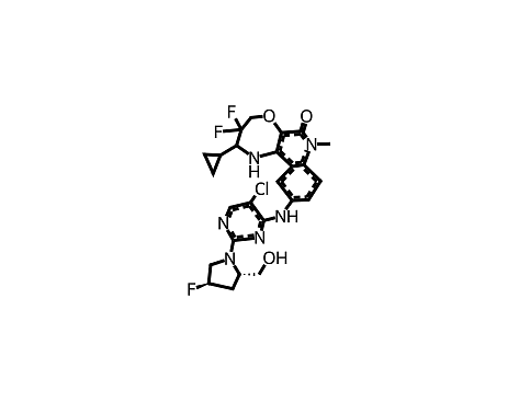 Cn1c(=O)c2c(c3cc(Nc4nc(N5C[C@H](F)C[C@H]5CO)ncc4Cl)ccc31)NC(C1CC1)C(F)(F)CO2